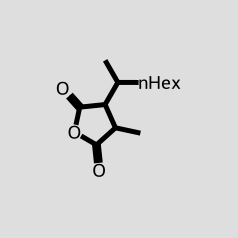 CCCCCCC(C)C1C(=O)OC(=O)C1C